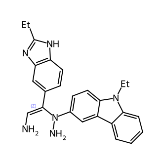 CCc1nc2cc(/C(=C/N)N(N)c3ccc4c(c3)c3ccccc3n4CC)ccc2[nH]1